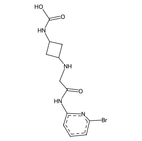 O=C(O)NC1CC(NCC(=O)Nc2cccc(Br)n2)C1